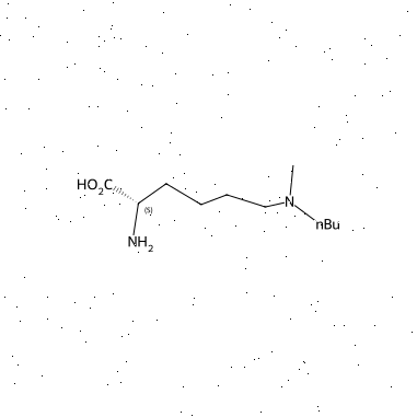 CCCCN(C)CCCC[C@H](N)C(=O)O